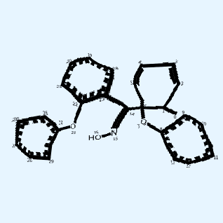 CC1C=CC=CC1(Oc1ccccc1)C(=NO)c1ccccc1Oc1ccccc1